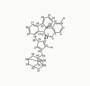 CC1=[C]([Zr](=[CH]c2ccc(C)cc2)[CH]2c3ccccc3-c3ccccc32)C(C)C=C1CC12CC3CC(CC(C3)C1)C2